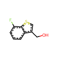 OCc1csc2c(F)cccc12